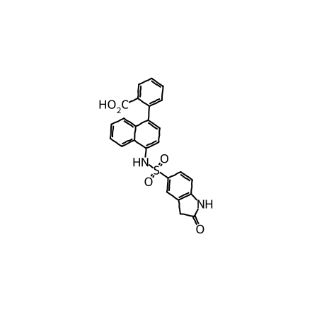 O=C1Cc2cc(S(=O)(=O)Nc3ccc(-c4ccccc4C(=O)O)c4ccccc34)ccc2N1